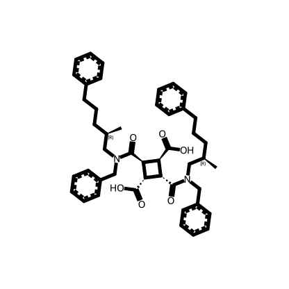 C[C@H](CCCc1ccccc1)CN(Cc1ccccc1)C(=O)[C@H]1[C@H](C(=O)O)[C@H](C(=O)N(Cc2ccccc2)C[C@H](C)CCCc2ccccc2)[C@H]1C(=O)O